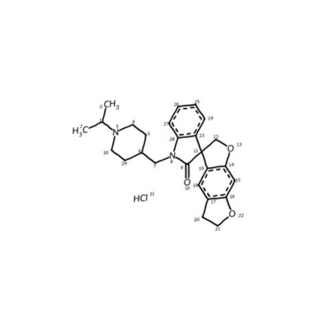 CC(C)N1CCC(CN2C(=O)C3(COc4cc5c(cc43)CCO5)c3ccccc32)CC1.Cl